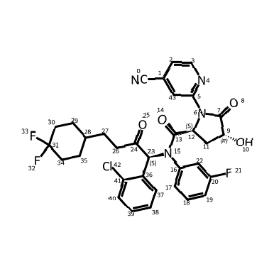 N#Cc1ccnc(N2C(=O)[C@H](O)C[C@H]2C(=O)N(c2cccc(F)c2)[C@H](C(=O)CCC2CCC(F)(F)CC2)c2ccccc2Cl)c1